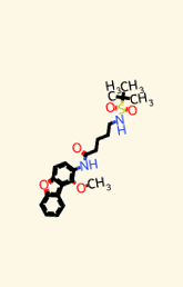 COc1c(NC(=O)CCCCNS(=O)(=O)C(C)(C)C)ccc2oc3ccccc3c12